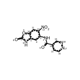 O=C(Nc1cc2[nH]c(=O)oc2cc1[N+](=O)[O-])c1ccnnc1